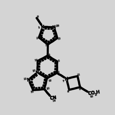 Cn1cc(-c2cc(N3CC(C(=O)O)C3)c3c(C#N)cnn3c2)cn1